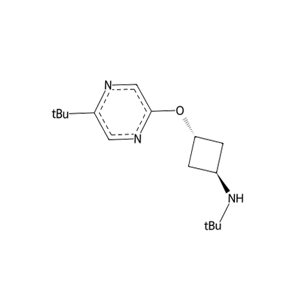 CC(C)(C)N[C@H]1C[C@H](Oc2cnc(C(C)(C)C)cn2)C1